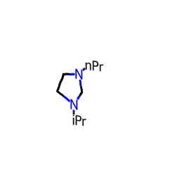 CCCN1CCN(C(C)C)C1